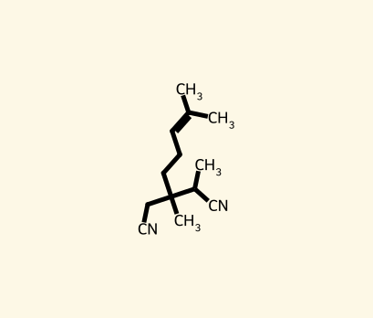 CC(C)=CCCC(C)(CC#N)C(C)C#N